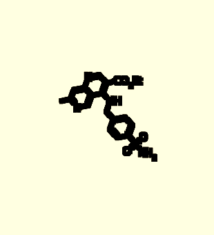 CCOC(=O)c1cnc2cc(C)ncc2c1NCc1ccc(S(N)(=O)=O)cc1